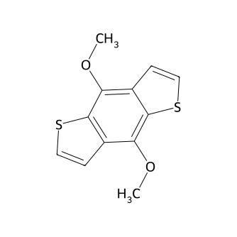 COc1c2ccsc2c(OC)c2ccsc12